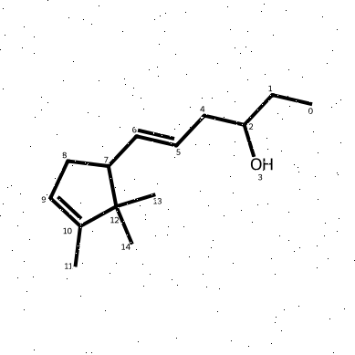 CCC(O)CC=CC1CC=C(C)C1(C)C